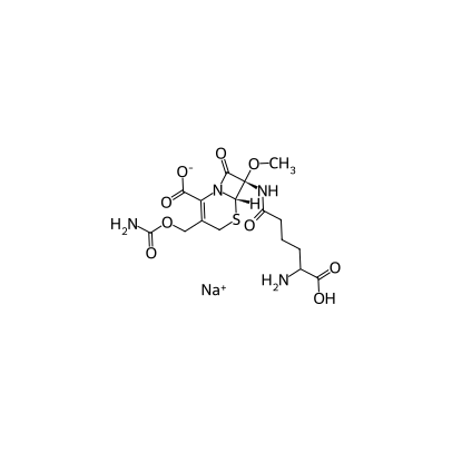 CO[C@@]1(NC(=O)CCCC(N)C(=O)O)C(=O)N2C(C(=O)[O-])=C(COC(N)=O)CS[C@H]21.[Na+]